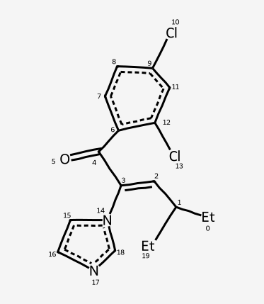 CCC(C=C(C(=O)c1ccc(Cl)cc1Cl)n1ccnc1)CC